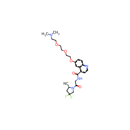 CN(C)CCOCCOCCOc1ccc2nccc(C(=O)NCC(=O)N3CC(F)(F)C[C@H]3C#N)c2c1